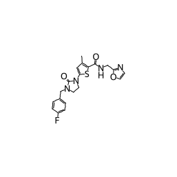 Cc1cc(N2CCN(Cc3ccc(F)cc3)C2=O)sc1C(=O)NCc1ncco1